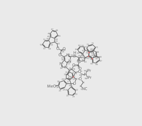 [C-]#[N+]CCOP(OC1C(COC(c2ccccc2)(c2ccccc2)c2ccc(OC)cc2)OCC(n2cnc3c(OC(=O)OCC4c5ccccc5-c5ccccc54)nc(NC(=O)OCC4c5ccccc5-c5ccccc54)nc32)[C@H]1OC(=O)OCC1c2ccccc2-c2ccccc21)N(C(C)C)C(C)C